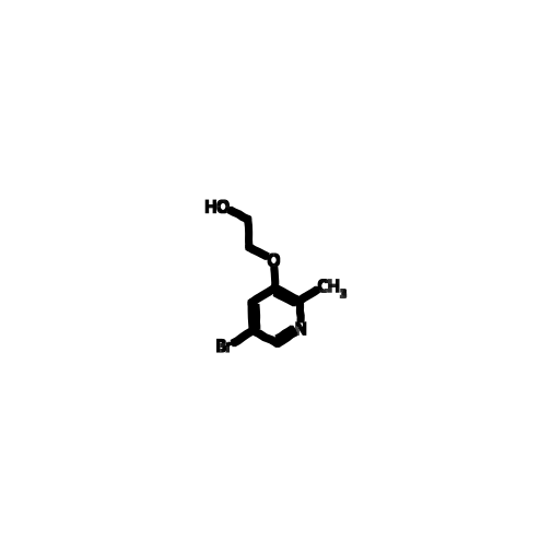 Cc1ncc(Br)cc1OCCO